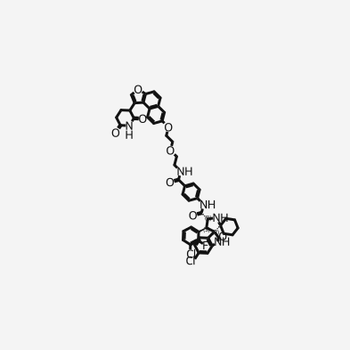 O=C1CCC(c2coc3ccc4cc(OCCOCCNC(=O)c5ccc(NC(=O)[C@@H]6NC7(CCCCC7)[C@@]7(C(=O)Nc8cc(Cl)ccc87)[C@H]6c6cccc(Cl)c6F)cc5)ccc4c23)C(=O)N1